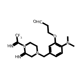 CN(C)c1ccc(CN2CCN(C(=N)C(F)(F)F)C(=N)C2)cc1OCCC=O